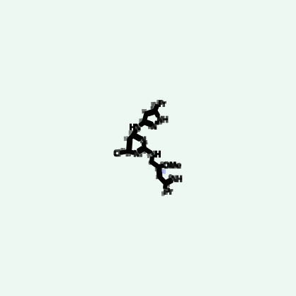 CO/C(=C\C(=N)C(C)C)CNc1nc(Cl)cc(Nc2cc(C(C)C)[nH]n2)n1